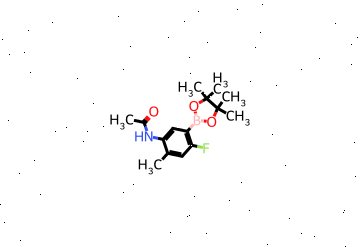 CC(=O)Nc1cc(B2OC(C)(C)C(C)(C)O2)c(F)cc1C